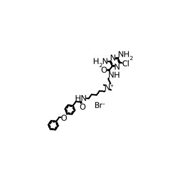 C[N+](C)(CCCCCNC(=O)Cc1ccc(OCc2ccccc2)cc1)CCNC(=O)c1nc(Cl)c(N)nc1N.[Br-]